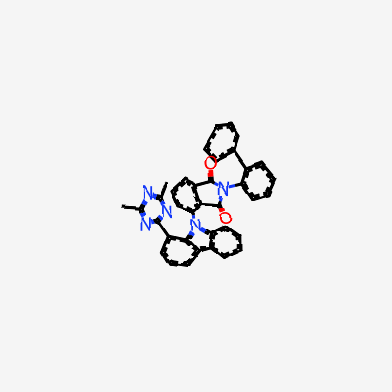 Cc1nc(C)nc(-c2cccc3c4ccccc4n(-c4cccc5c4C(=O)N(c4ccccc4-c4ccccc4)C5=O)c23)n1